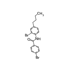 CCCCc1ccc(NC(=O)c2ccc(Br)cc2)c(Br)c1